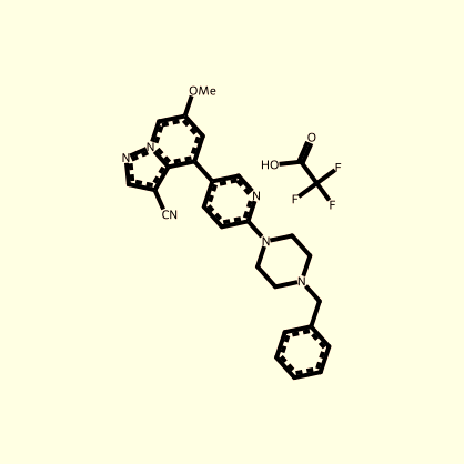 COc1cc(-c2ccc(N3CCN(Cc4ccccc4)CC3)nc2)c2c(C#N)cnn2c1.O=C(O)C(F)(F)F